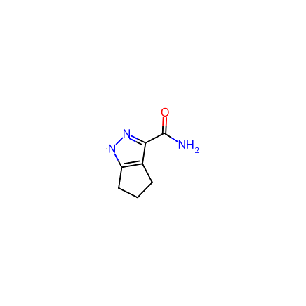 NC(=O)C1=N[N]C2=C1CCC2